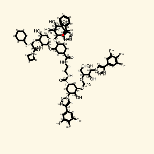 CC(=O)NC1C(O[C@@H](CC2CCCCC2)C(=O)N2CCC2)C(O)[C@H](CO)O[C@H]1OC1CC(C(=O)NCCNC(=O)[C@H]2CC(n3cc(-c4cc(F)c(F)c(F)c4)nn3)C(O)[C@H](O[C@@H](C)OC(CO)C(O)[C@H](O)n3cc(-c4cc(F)c(F)c(F)c4)nn3)C2)C[C@@H](n2cc(-c3ccccc3)nn2)C1OC1OC(C)C(O)C(O)C1O